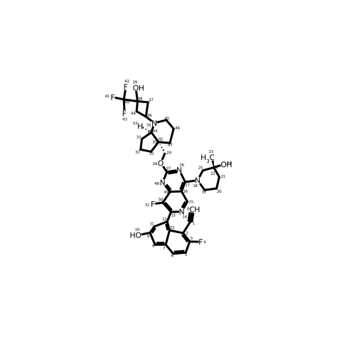 C#Cc1c(F)ccc2cc(O)cc(-c3ncc4c(N5CCC[C@@](C)(O)C5)nc(OC[C@]56CCC[C@H]5N(C5CC(O)(C(F)(F)F)C5)CCC6)nc4c3F)c12